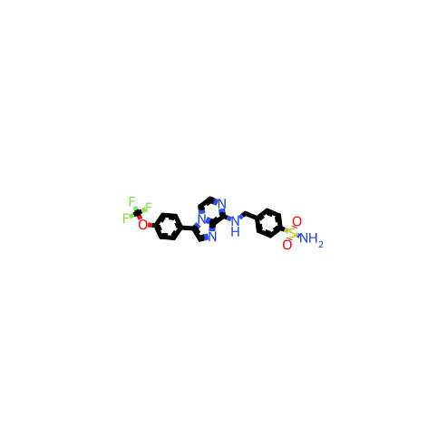 NS(=O)(=O)c1ccc(CNc2nccn3c(-c4ccc(OC(F)(F)F)cc4)cnc23)cc1